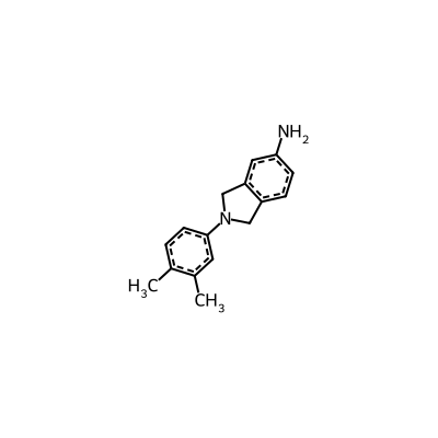 Cc1ccc(N2Cc3ccc(N)cc3C2)cc1C